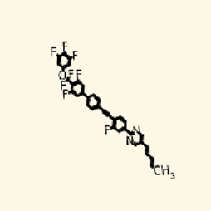 CCCCCc1cnc(-c2ccc(C#Cc3ccc(-c4cc(F)c(C(F)(F)Oc5cc(F)c(F)c(F)c5)c(F)c4)cc3)c(F)c2)nc1